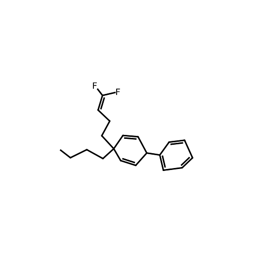 CCCCC1(CCC=C(F)F)C=CC(c2ccccc2)C=C1